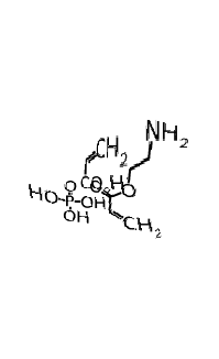 C=CC(=O)O.C=CC(=O)OCCN.O=P(O)(O)O